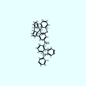 c1ccc(-n2c3ccccc3c3c(Nc4ccc5c(c4)Sc4ccccc4C54c5ccccc5-c5ccccc54)cccc32)cc1